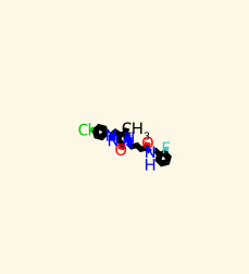 Cc1nn(CCCC(=O)NCc2ccccc2F)c(=O)c2nn(-c3ccc(Cl)cc3)cc12